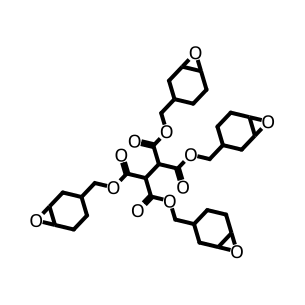 O=C(OCC1CCC2OC2C1)C(C(=O)OCC1CCC2OC2C1)C(C(=O)OCC1CCC2OC2C1)C(=O)OCC1CCC2OC2C1